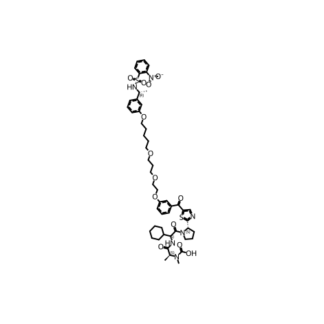 C[C@@H](NS(=O)(=O)c1ccccc1[N+](=O)[O-])c1cccc(OCCCCCOCCCOCCOc2cccc(C(=O)c3cnc([C@@H]4CCCN4C(=O)[C@@H](NC(=O)[C@H](C)N(C)C(=O)O)C4CCCCC4)s3)c2)c1